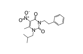 Cc1c([N+](=O)[O-])c(=O)n(CCc2ccccc2)c(=O)n1CC(C)C